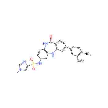 COc1cc(-c2ccc3c(c2)Nc2cc(NS(=O)(=O)c4cn(C)cn4)ccc2NC3=O)ccc1[N+](=O)[O-]